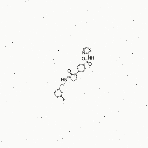 O=C1[C@@H](NCCc2cccc(F)c2)CCN1c1ccc(S(=O)(=O)Nc2nccs2)cc1